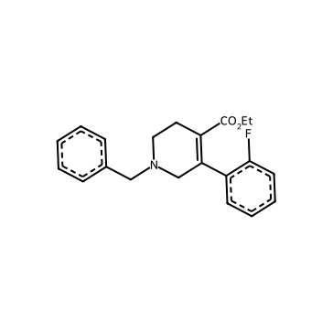 CCOC(=O)C1=C(c2ccccc2F)CN(Cc2ccccc2)CC1